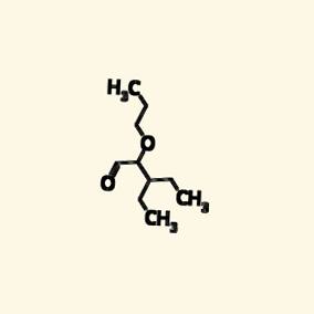 CCCOC(C=O)C(CC)CC